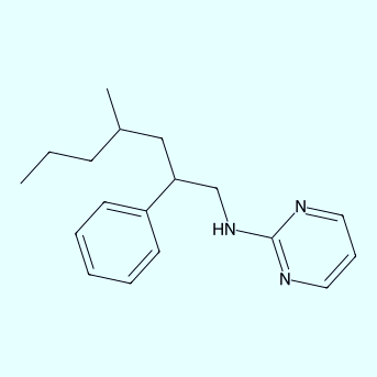 CCCC(C)CC(CNc1ncccn1)c1ccccc1